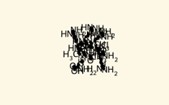 CC(=O)N[C@H](CSSC[C@H](N)C(=O)O)C(=O)N[C@@H](C)C(=O)N[C@H](CCCNC(=N)N)C(=O)N[C@@H](CCCNC(=N)N)C(=O)N[C@H](CCCNC(=N)N)C(=O)N[C@@H](C)C(=O)N[C@H](CCCN=C(N)N)C(N)=O.Cl